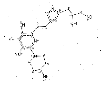 CCc1c(C#N)c(SCc2cnn(CC(O)CN=O)c2)nc(N2CCC(N)CC2)c1C#N